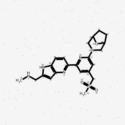 CNCc1cc2nc(-c3cc(CS(C)(=O)=O)cc(N4CC5CCC(C4)O5)n3)ccc2[nH]1